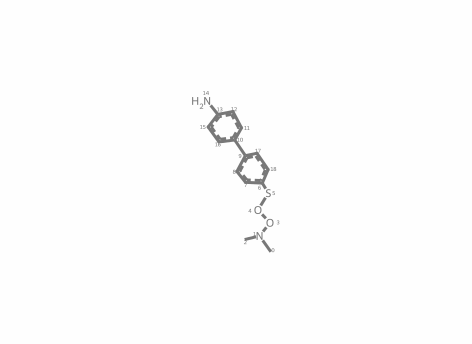 CN(C)OOSc1ccc(-c2ccc(N)cc2)cc1